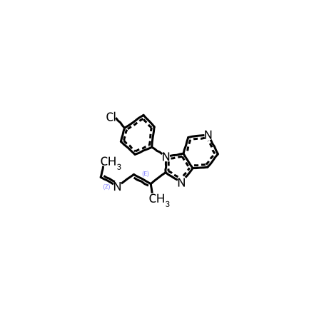 C/C=N\C=C(/C)c1nc2ccncc2n1-c1ccc(Cl)cc1